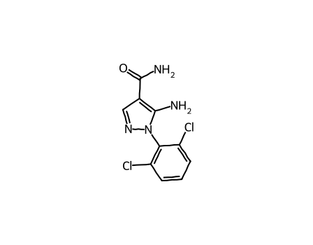 NC(=O)c1cnn(-c2c(Cl)cccc2Cl)c1N